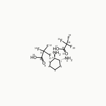 N[C@@H]1CCCC[C@H]1N.O=C(O)C(F)(F)F.O=C(O)C(F)(F)F